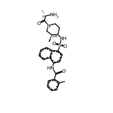 Cc1ccccc1C(=O)Nc1ccc(S(=O)(=O)N[C@@H]2CCN(C(=O)[C@H](C)N)C[C@@H]2C)c2ccccc12